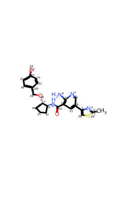 Cc1nc(-c2cnc(N)c(C(=O)N[C@H]3CCC[C@@H]3OCc3ccc(Br)cc3)c2)cs1